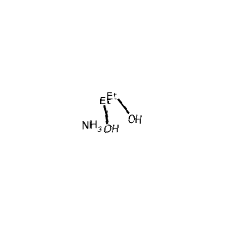 CCO.CCO.N